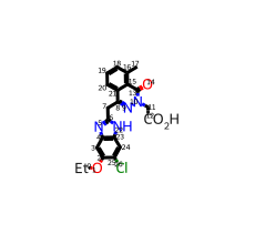 CCOc1cc2nc(Cc3nn(CC(=O)O)c(=O)c4c(C)cccc34)[nH]c2cc1Cl